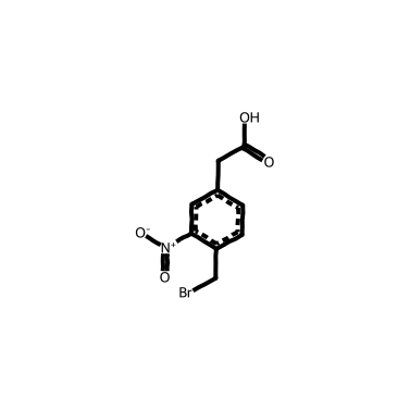 O=C(O)Cc1ccc(CBr)c([N+](=O)[O-])c1